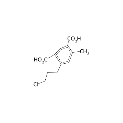 Cc1cc(CCCCl)c(C(=O)O)cc1C(=O)O